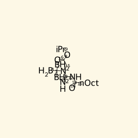 BC(B)(B)N(CC(=O)OC(C)C)C(=N)NC(=O)CCCCCCCC